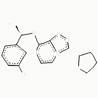 C[C@@H](Nc1nccn2c([C@@H]3CCCS3)nnc12)c1cccc(Cl)c1